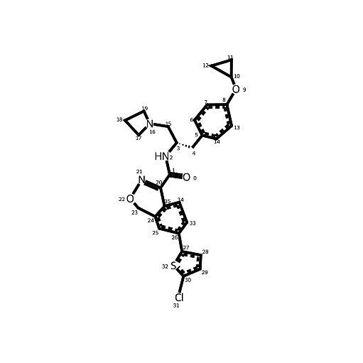 O=C(N[C@@H](Cc1ccc(OC2CC2)cc1)CN1CCC1)C1=NOCc2cc(-c3ccc(Cl)s3)ccc21